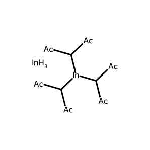 CC(=O)[CH](C(C)=O)[In]([CH](C(C)=O)C(C)=O)[CH](C(C)=O)C(C)=O.[InH3]